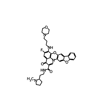 CN1CCCC1CCNC(=O)c1cn2c3c(c(NCCCN4CCOCC4)c(F)cc3c1=O)Oc1cc3c(cc1-2)oc1ccccc13